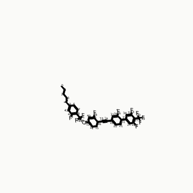 CCCCCc1ccc(C(F)(F)OC2=CCC(C#CC3=CCC(c4cc(F)c(C(F)(F)F)c(F)c4)C(F)=C3)C(F)=C2)c(F)c1